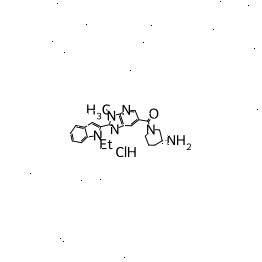 CCn1c(-c2nc3cc(C(=O)N4CCC[C@@H](N)C4)cnc3n2C)cc2ccccc21.Cl